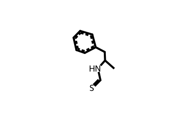 CC(Cc1ccccc1)NC=S